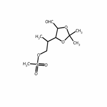 CC(COS(C)(=O)=O)C1OC(C)(C)OC1C=O